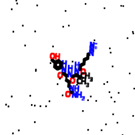 CC(C)[C@H](NC(=O)CCCCCN=[N+]=[N-])C(=O)N[C@@H](CCCNC(N)=O)C(=O)Nc1ccc(CO)cc1